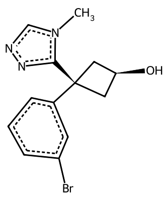 Cn1cnnc1[C@]1(c2cccc(Br)c2)C[C@H](O)C1